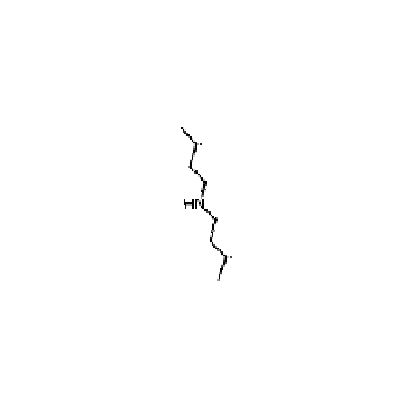 C[CH]CCNCC[CH]C